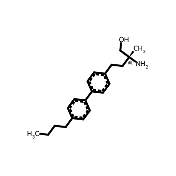 CCCCc1ccc(-c2ccc(CC[C@@](C)(N)CO)cc2)cc1